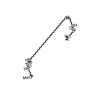 C=C(C)C(=O)OCCCC[N+](C)(C)CC(=O)NCCCC[Si](C)(C)O[Si](C)(C)CCCCCCCCCCCCCCCCCCCCCCCCCCCCCCCCCCNC(=O)C[N+](C)(C)CC(=O)NCCCC[Si](C)(C)OC